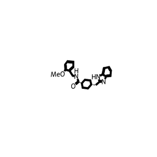 COc1ccccc1CNC(=O)[C@H]1CC[C@@H](Cc2nc3ccccc3[nH]2)CC1